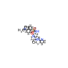 CC1CCN(C(=O)C(CCCNc2ccccn2)NS(=O)(=O)c2cccc3c(N(C)C)cccc23)CC1